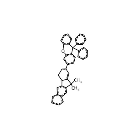 CC1(C)C2=CC(c3ccc4c(c3)Oc3ccccc3C4(c3ccccc3)c3ccccc3)=CCC2c2cc3ccccc3cc21